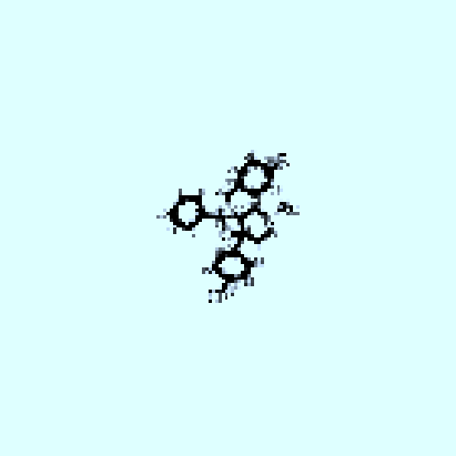 CC(=O)N1CCC(OCc2ccccc2)(c2ccc(Cl)cc2)C(OCc2ccc(F)cc2)C1